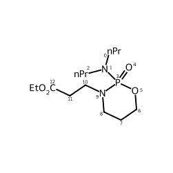 CCCN(CCC)P1(=O)OCCCN1CCC(=O)OCC